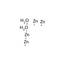 O.O.[Zn].[Zn].[Zn].[Zn]